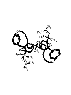 [CH]C(C)(C12CCC13CCCOc1ccc(cc1)C31OC1([Si](C)(C)O[SiH](C)C)CC2)C12CCC13CCCOc1ccc(cc1)C31OC1([Si](C)(C)O[SiH](C)C)CC2